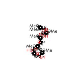 COc1ccc(C(O)C(C)Oc2cc(C(O)C(C)Oc3ccc([C@H]4OC(c5ccc(O[C@H](C)[C@H](O)c6ccc(OC)c(O[C@H](C)[C@H](O)c7ccc(OC)c(OC)c7)c6)c(OC)c5)C(C)[C@H]4C)cc3OC)ccc2OC)cc1OC